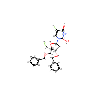 O=C1NC(O)N([C@H]2C[C@H](OCc3ccccc3)[C@@](CF)(COCc3ccccc3)O2)C=C1F